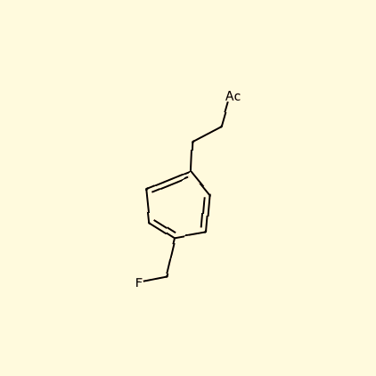 CC(=O)CCc1ccc(CF)cc1